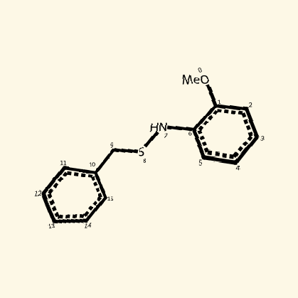 COc1ccccc1NSCc1ccccc1